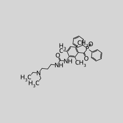 CCN(CC)CCCNC(=O)Nc1c(C)cc(C)c(C(=O)P(=O)(c2ccccc2)c2ccccc2)c1C